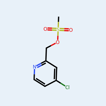 CS(=O)(=O)OCc1cc(Cl)ccn1